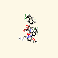 COc1ccc(C)[n+]([O-])c1-c1ccc(C(F)(F)F)cc1CN1C(=O)O[C@H](c2cc(F)cc(C(F)(F)F)c2)[C@@H]1C